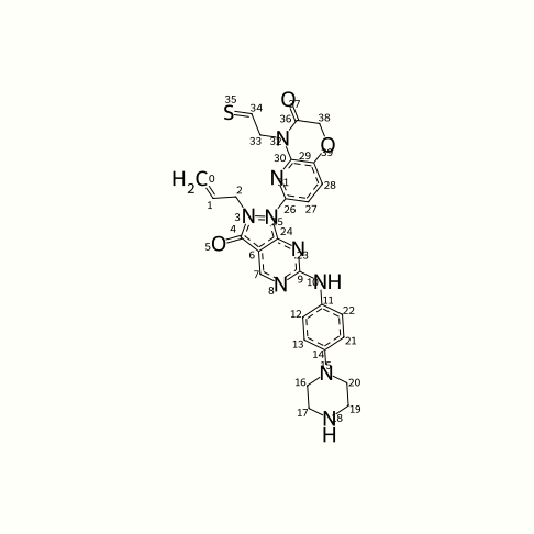 C=CCn1c(=O)c2cnc(Nc3ccc(N4CCNCC4)cc3)nc2n1-c1ccc2c(n1)N(CC=S)C(=O)CO2